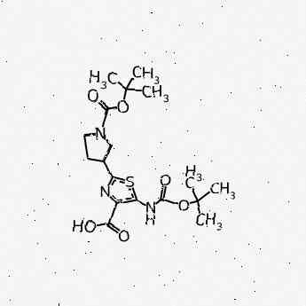 CC(C)(C)OC(=O)Nc1sc(C2CCN(C(=O)OC(C)(C)C)C2)nc1C(=O)O